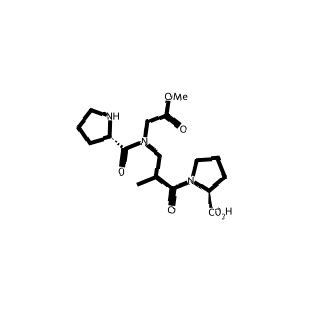 COC(=O)CN(CC(C)C(=O)N1CCC[C@H]1C(=O)O)C(=O)[C@@H]1CCCN1